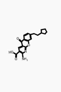 Nc1nc2oc3cc(CCC4CCCC4)ccc3c(=O)c2cc1C(=O)O